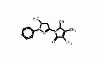 CC1=C(C)C(O)N(C2=NN(c3ccccc3)C(C)C2)C1=O